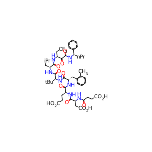 CCC[C@@H](NC(=O)C(=O)C(CC(F)(F)F)NC(=O)[C@H](CC(C)C)NC(=O)[C@@H](NC(=O)[C@H](Cc1ccccc1C)NC(=O)[C@H](CCC(=O)O)NC(=O)[C@H](CC(=O)O)NC(=O)CCC(=O)O)C(C)(C)C)c1ccccc1